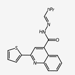 CCCC=NNC(=O)c1cc(-c2cccs2)nc2ccccc12